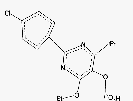 CCOc1nc(-c2ccc(Cl)cc2)nc(C(C)C)c1OC(=O)O